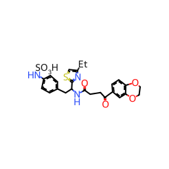 CCc1csc(C(Cc2ccc(NS(=O)(=O)O)cc2)NC(=O)CCC(=O)c2ccc3c(c2)OCCO3)n1